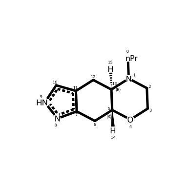 CCCN1CCO[C@@H]2Cc3n[nH]cc3C[C@H]21